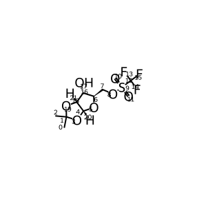 CC1(C)O[C@H]2O[C@H](COS(=O)(=O)C(F)(F)F)[C@@H](O)[C@H]2O1